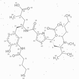 CCCCCN(C)[C@H](C[C@@H](OC(C)=O)c1nc(C(=O)N[C@@H](Cc2ccc(O)c(NC(=O)CCCS)c2)CC(C)C(=O)O)cs1)C(C)C